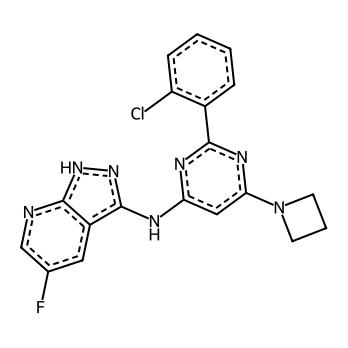 Fc1cnc2[nH]nc(Nc3cc(N4CCC4)nc(-c4ccccc4Cl)n3)c2c1